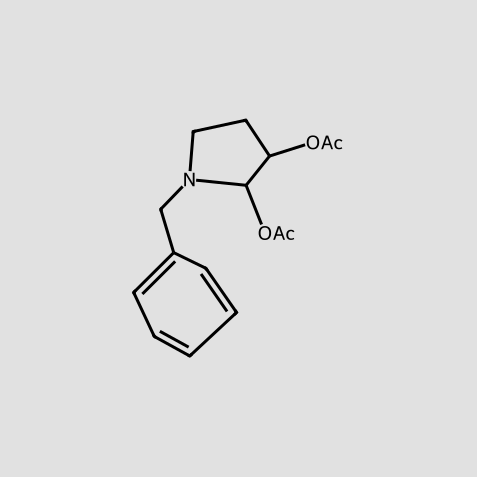 CC(=O)OC1CCN(Cc2ccccc2)C1OC(C)=O